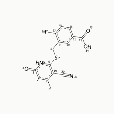 Cc1cc(=O)[nH]c(SCc2cc(C(=O)O)ccc2F)c1C#N